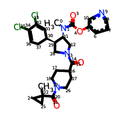 CN(C(=O)Oc1cccnc1)[C@@H]1CN(C(=O)C2CCN(C(=O)C3(C)CC3)CC2)C[C@H]1C1C=C(Cl)C(Cl)=CC1